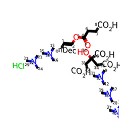 CCCCCCCCCCC=COC(=O)CCC(=O)O.CN(C)C.CN(C)C.CN(C)C.CN(C)C.CN(C)C.Cl.O=C(O)CC(O)(CC(=O)O)C(=O)O